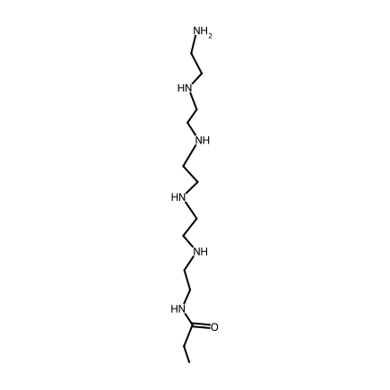 CCC(=O)NCCNCCNCCNCCNCCN